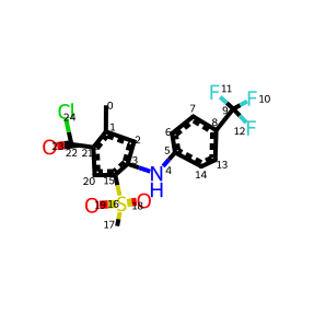 Cc1cc(Nc2ccc(C(F)(F)F)cc2)c(S(C)(=O)=O)cc1C(=O)Cl